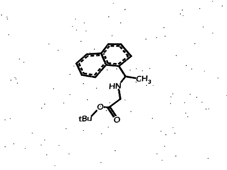 CC(NCC(=O)OC(C)(C)C)c1cccc2ccccc12